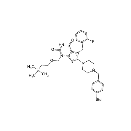 CC(C)(C)c1ccc(CN2CCN(c3nc4c(c(=O)[nH]c(=O)n4COCC[Si](C)(C)C)n3Cc3ccccc3F)CC2)cc1